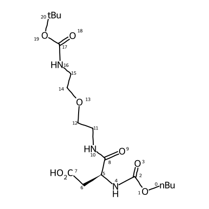 CCCCOC(=O)N[C@@H](CC(=O)O)C(=O)NCCOCCNC(=O)OC(C)(C)C